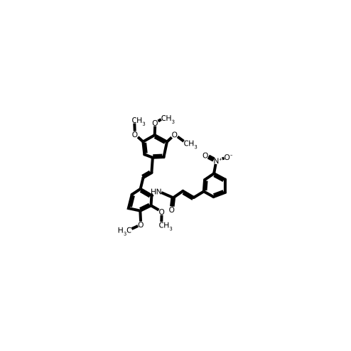 COc1cc(C=Cc2ccc(OC)c(OC)c2NC(=O)/C=C/c2cccc([N+](=O)[O-])c2)cc(OC)c1OC